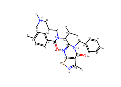 Cc1ccc(C(=O)N(CCCN(C)C)C(c2nc3snc(C)c3c(=O)n2Cc2ccccc2)C(C)C)cc1